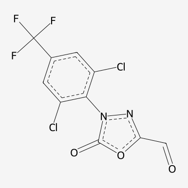 O=Cc1nn(-c2c(Cl)cc(C(F)(F)F)cc2Cl)c(=O)o1